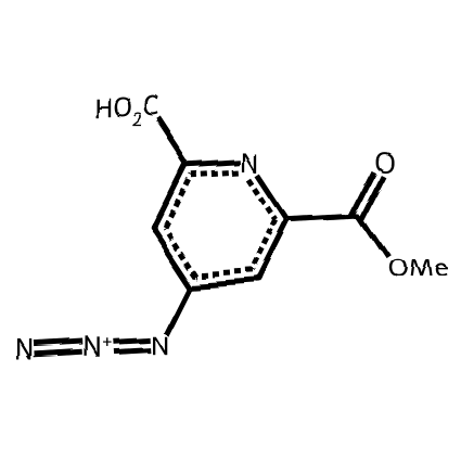 COC(=O)c1cc(N=[N+]=[N-])cc(C(=O)O)n1